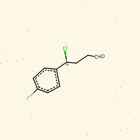 O=CCC[C@H](Cl)c1ccc(F)cc1